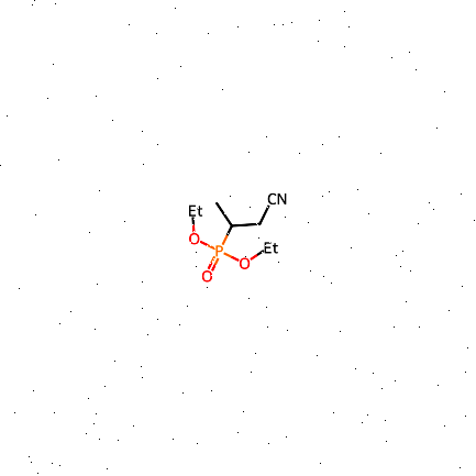 CCOP(=O)(OCC)C(C)CC#N